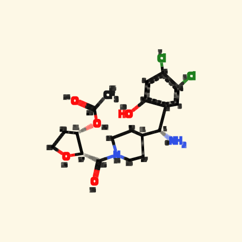 N[C@@H](c1cc(Cl)c(Cl)cc1O)C1CCN(C(=O)[C@@H]2OCC[C@@H]2OC(=O)C(F)(F)F)CC1